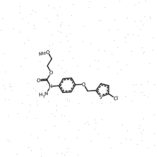 COCCOC(=O)N(N)c1ccc(OCc2ccc(Cl)s2)cc1